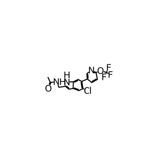 CC(=O)NCc1cc2cc(Cl)c(-c3ccc(OC(F)(F)F)nc3)cc2[nH]1